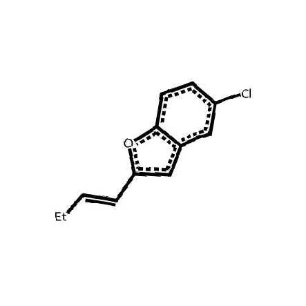 CC/C=C/c1cc2cc(Cl)ccc2o1